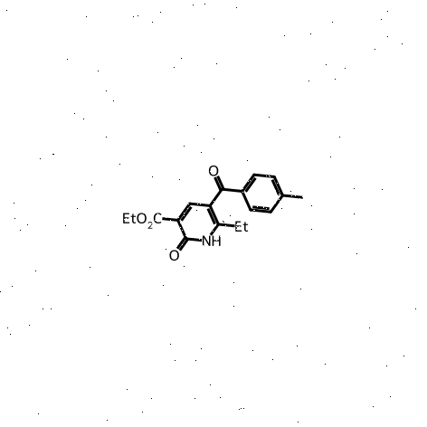 CCOC(=O)c1cc(C(=O)c2ccc(C)cc2)c(CC)[nH]c1=O